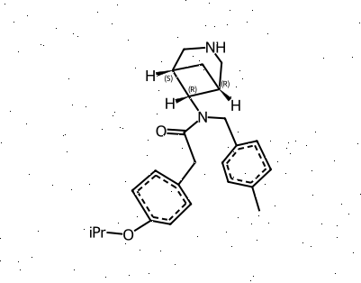 Cc1ccc(CN(C(=O)Cc2ccc(OC(C)C)cc2)[C@@H]2[C@@H]3CNC[C@H]2C3)cc1